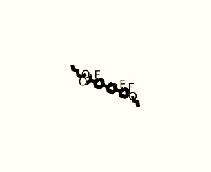 C=CCCC1OCC(c2ccc(-c3ccc(-c4ccc(OCC=C)c(F)c4F)cc3)cc2F)CO1